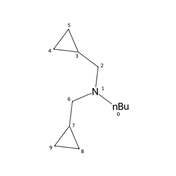 CCCCN(CC1CC1)CC1CC1